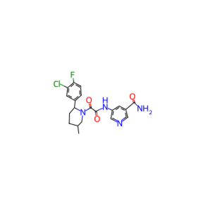 CC1CCC(c2ccc(F)c(Cl)c2)N(C(=O)C(=O)Nc2cncc(C(N)=O)c2)C1